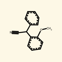 COc1ccccc1C(C#N)c1ccccc1